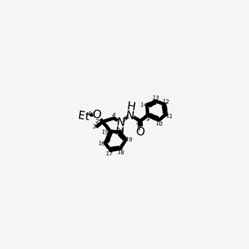 CCOC(C)(CNNC(=O)c1ccccc1)c1ccccc1